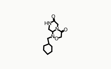 O=C1CN2C(=O)CON(CC3CCCCC3)C2CN1